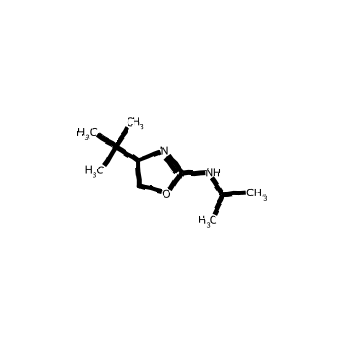 CC(C)NC1=NC(C(C)(C)C)CO1